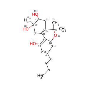 CCCCc1cc(O)c2c(c1)OC(C)(C)C1=C2CC(C)(O)C(O)C1